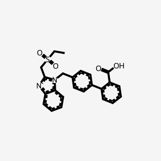 CCS(=O)(=O)Cc1nc2ccccc2n1Cc1ccc(-c2ccccc2C(=O)O)cc1